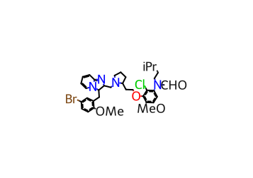 COc1ccc(Br)cc1CC1C(CN2CCCC2CCOc2c(OC)ccc(N(C=O)CCC(C)C)c2Cl)N=C2C=CC=CN21